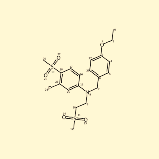 CCOc1ccc(CN(CCS(C)(=O)=O)c2ccc(S(C)(=O)=O)c(F)c2)cc1